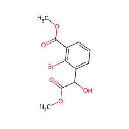 COC(=O)c1cccc(C(O)C(=O)OC)c1Br